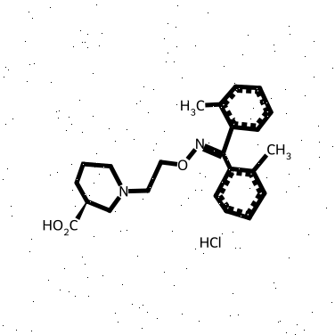 Cc1ccccc1C(=NOCCN1CCC[C@H](C(=O)O)C1)c1ccccc1C.Cl